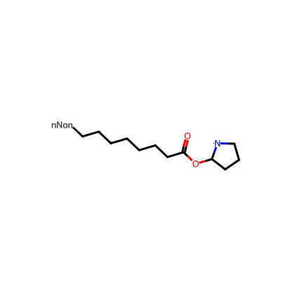 CCCCCCCCCCCCCCCCC(=O)OC1CCC[N]1